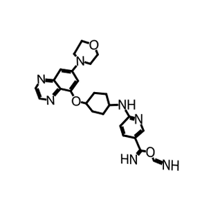 N=COC(=N)c1ccc(NC2CCC(Oc3cc(N4CCOCC4)cc4nccnc34)CC2)nc1